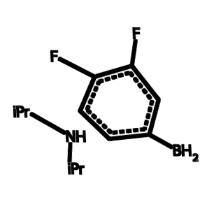 Bc1ccc(F)c(F)c1.CC(C)NC(C)C